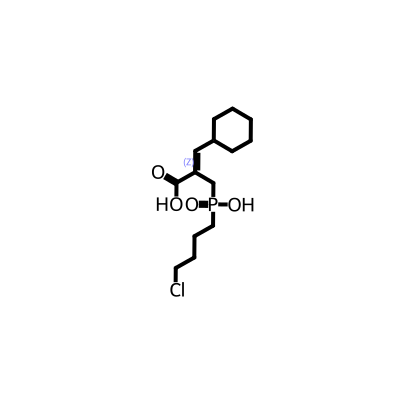 O=C(O)/C(=C/C1CCCCC1)CP(=O)(O)CCCCCl